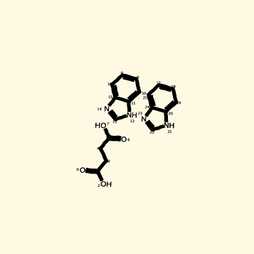 O=C(O)CCC(=O)O.c1ccc2[nH]cnc2c1.c1ccc2[nH]cnc2c1